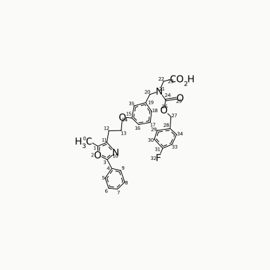 Cc1oc(-c2ccccc2)nc1CCOc1cccc(CN(CC(=O)O)C(=O)OCc2ccc(F)cc2)c1